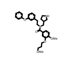 COCCCOc1cc(C(=O)N(CCc2cccc(Oc3ccccc3)c2)CC2CCNC2)ccc1OC